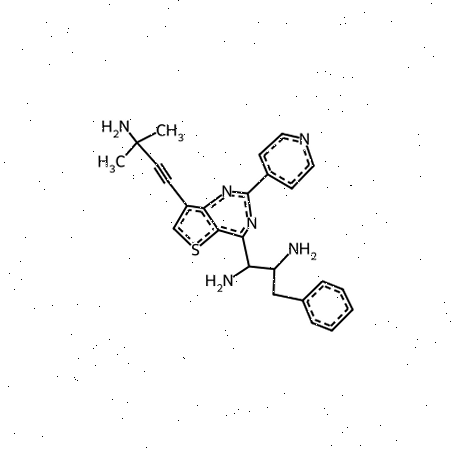 CC(C)(N)C#Cc1csc2c(C(N)C(N)Cc3ccccc3)nc(-c3ccncc3)nc12